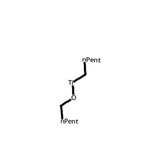 CCCCCC[O][Ti][CH2]CCCCC